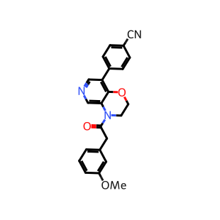 COc1cccc(CC(=O)N2CCOc3c(-c4ccc(C#N)cc4)cncc32)c1